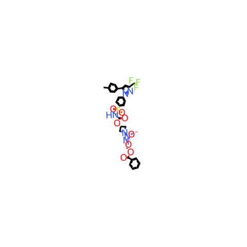 Cc1ccc(-c2cc(C(F)(F)F)nn2-c2ccc(S(=O)(=O)NC(=O)OC3CN(/[N+]([O-])=N/OCOC(=O)c4ccccc4)C3)cc2)cc1